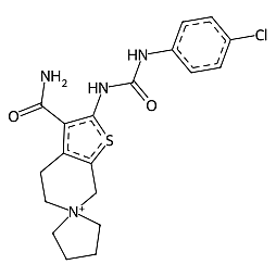 NC(=O)c1c(NC(=O)Nc2ccc(Cl)cc2)sc2c1CC[N+]1(CCCC1)C2